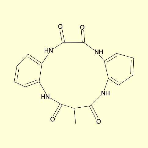 CC1C(=O)Nc2ccccc2NC(=O)C(=O)Nc2ccccc2NC1=O